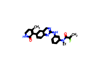 C=C(F)C(=O)N(CC)c1cccc(Nc2ncc3cc(-c4c(C)cc[nH]c4=O)ccc3n2)c1